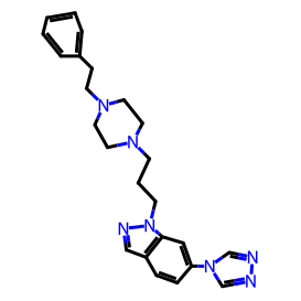 c1ccc(CCN2CCN(CCCn3ncc4ccc(-n5cnnc5)cc43)CC2)cc1